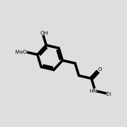 CCNC(=O)CCc1ccc(OC)c(O)c1